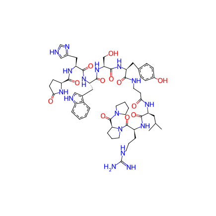 CC(C)C[C@H](NC(=O)CCNC(=O)[C@H](Cc1ccc(O)cc1)NC(=O)[C@H](CO)NC(=O)[C@H](Cc1c[nH]c2ccccc12)NC(=O)[C@H](Cc1c[nH]cn1)NC(=O)[C@@H]1CCC(=O)N1)C(=O)N[C@@H](CCCNC(=N)N)C(=O)N1CCC[C@H]1C(=O)N1CCCC1